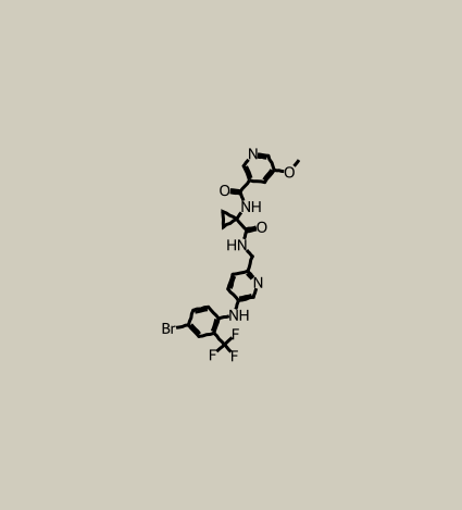 COc1cncc(C(=O)NC2(C(=O)NCc3ccc(Nc4ccc(Br)cc4C(F)(F)F)cn3)CC2)c1